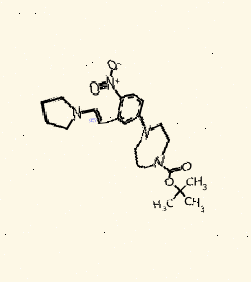 CC(C)(C)OC(=O)N1CCN(c2ccc([N+](=O)[O-])c(/C=C/N3CCCC3)c2)CC1